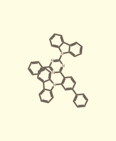 c1ccc(-c2ccc(-c3nc(-c4ccccc4)nc(-n4c5ccccc5c5ccccc54)n3)c(-n3c4ccccc4c4ccccc43)c2)cc1